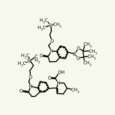 CC1(C)OB(c2ccc3c(c2)CCC(=O)N3COCC[Si](C)(C)C)OC1(C)C.CC1CC=C(c2ccc3c(c2)CCC(=O)N3COCC[Si](C)(C)C)N(C(=O)O)C1